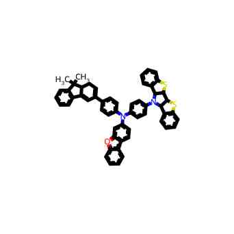 CC1(C)c2ccccc2C2=CC(c3ccc(N(c4ccc(N5C6c7ccccc7SC6C6Sc7ccccc7C65)cc4)c4ccc5c(c4)oc4ccccc45)cc3)=CCC21